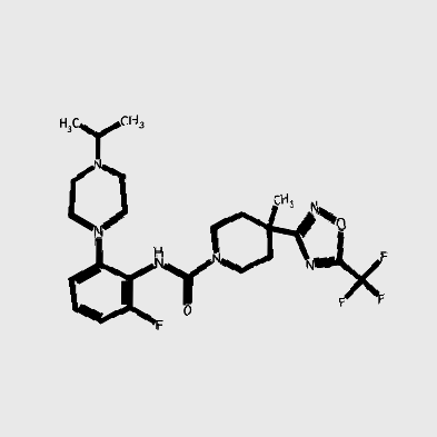 CC(C)N1CCN(c2cccc(F)c2NC(=O)N2CCC(C)(c3noc(C(F)(F)F)n3)CC2)CC1